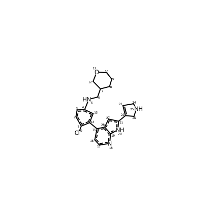 Clc1ccc(NCC2CCCOC2)cc1-c1ccnc2[nH]c(C3=CCNC3)cc12